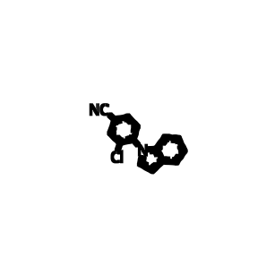 N#Cc1ccc(-n2ccc3ccccc32)c(Cl)c1